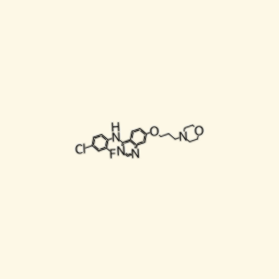 Fc1cc(Cl)ccc1Nc1ncnc2cc(OCCCN3CCOCC3)ccc12